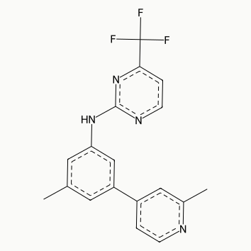 Cc1cc(Nc2nccc(C(F)(F)F)n2)cc(-c2ccnc(C)c2)c1